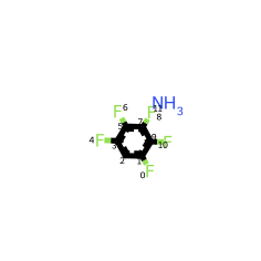 Fc1cc(F)c(F)c(F)c1F.N